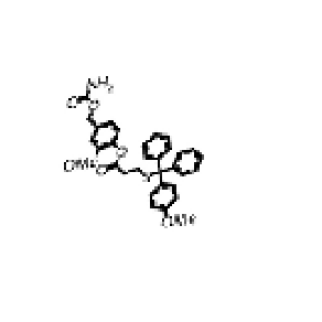 COc1ccc(C(SCCC(=O)Oc2ccc(COC(N)=O)cc2OC)(c2ccccc2)c2ccccc2)cc1